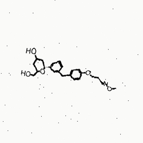 CO/N=C/CCOc1ccc(Cc2cccc([C@H]3CC(O)CC(CO)O3)c2)cc1